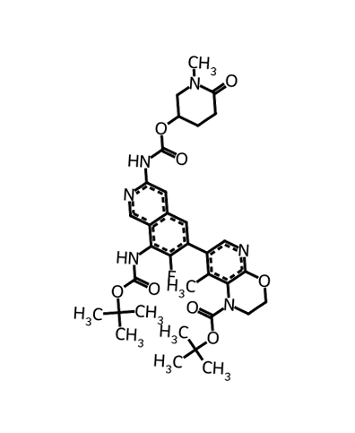 Cc1c(-c2cc3cc(NC(=O)OC4CCC(=O)N(C)C4)ncc3c(NC(=O)OC(C)(C)C)c2F)cnc2c1N(C(=O)OC(C)(C)C)CCO2